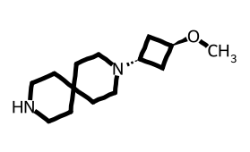 CO[C@H]1C[C@H](N2CCC3(CCNCC3)CC2)C1